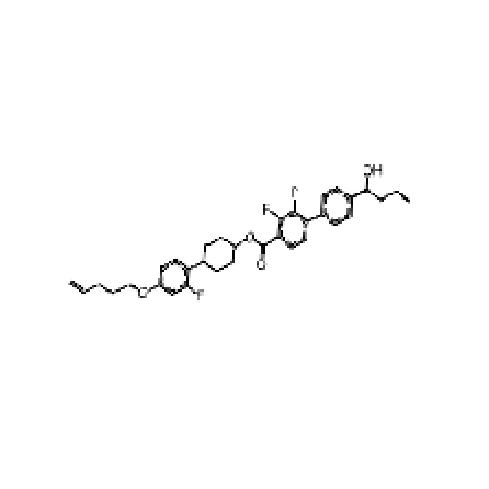 C=CCCCOc1ccc(C2CCC(OC(=O)c3ccc(-c4ccc(C(O)CCC)cc4)c(F)c3F)CC2)c(F)c1